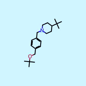 CC(C)(C)OCc1ccc(CN2CCC(C(C)(C)C)CC2)cc1